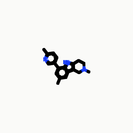 Cc1cc(-c2ccc(C)nc2)c2[nH]c3c(c2c1)CN(C)CC3